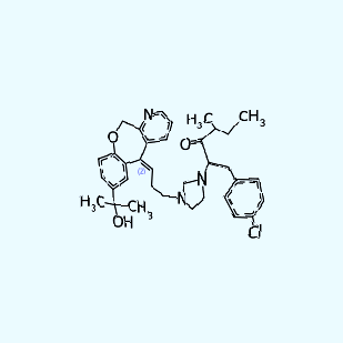 CCC(C)C(=O)C(Cc1ccc(Cl)cc1)N1CCN(CC/C=C2\c3cc(C(C)(C)O)ccc3OCc3ncccc32)C1